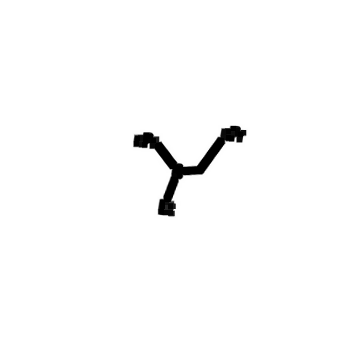 CCCCB(CC)CCC